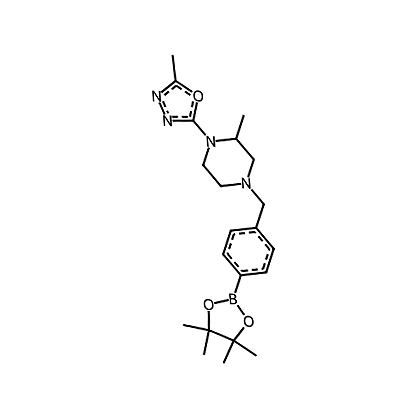 Cc1nnc(N2CCN(Cc3ccc(B4OC(C)(C)C(C)(C)O4)cc3)CC2C)o1